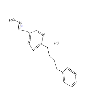 Cl.O/N=C/c1cnc(CCCCc2cccnc2)cn1